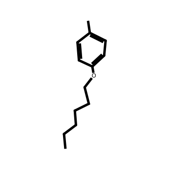 CCCCCCOc1ccc(C)cc1